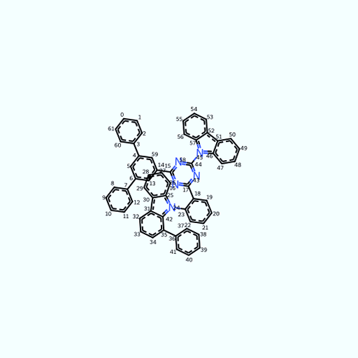 c1ccc(-c2cc(-c3ccccc3)cc(-c3nc(-c4ccccc4-n4c5ccccc5c5cccc(-c6ccccc6)c54)nc(-n4c5ccccc5c5ccccc54)n3)c2)cc1